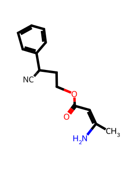 C/C(N)=C/C(=O)OCCC(C#N)c1ccccc1